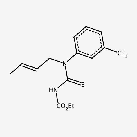 CC=CCN(C(=S)NC(=O)OCC)c1cccc(C(F)(F)F)c1